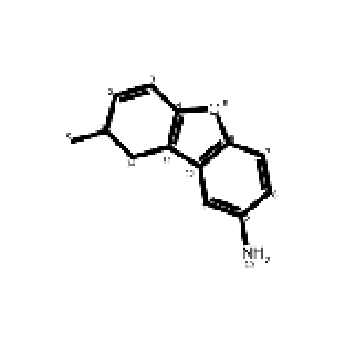 CC1C=Cc2oc3ccc(N)cc3c2C1